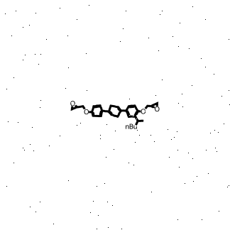 CCCCC(C)c1cc(C2=CCC(c3ccc(OCC4CO4)cc3)=CC2)ccc1OCC1CO1